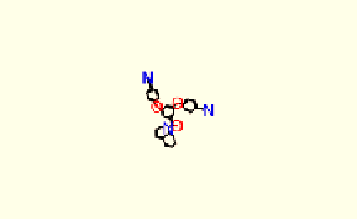 N#Cc1ccc(Oc2cc(Oc3ccc(C#N)cc3)cc(C(=O)N3CCCC4CCCCC43)c2)cc1